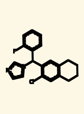 Fc1ccccc1C(c1cc2c(cc1Cl)CCCC2)n1ccnc1